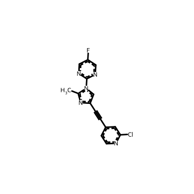 Cc1nc(C#Cc2ccnc(Cl)c2)cn1-c1ncc(F)cn1